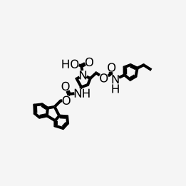 CCc1ccc(NC(=O)OCC2CC(NC(=O)OCC3c4ccccc4-c4ccccc43)CN2C(=O)O)cc1